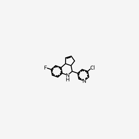 Fc1ccc2c(c1)C1C=CCC1C(c1cncc(Cl)c1)N2